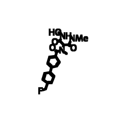 CNC(=O)C(C(=O)NO)N(C)C(=O)c1ccc(-c2ccc(CF)cc2)cc1